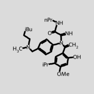 C=C(c1cc(C(C)C)c(OC)cc1O)N(C(=N)C(=O)NCCC)c1ccc(CN(C)CCC(C)CC)cc1